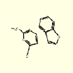 Cc1nccc(Cl)n1.c1ccc2occc2c1